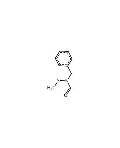 CSN([C]=O)Cc1ccccc1